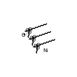 CCCCCCCCCCCCOP(OCC)OCCCC.CCCCCCCCCCCCOP(OCC)OCCCC.CCCCCCCCCCCCOP(OCC)OCCCC.[C]=O.[Ni]